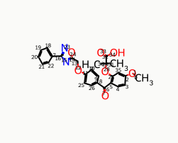 COc1ccc(C(=O)c2ccc(OCc3nc(-c4ccccc4)no3)cc2)c(OC(C)(C)C(=O)O)c1